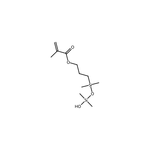 C=C(C)C(=O)OCCC[Si](C)(C)O[Si](C)(C)O